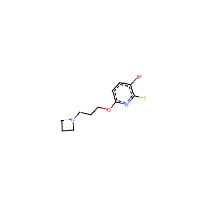 Fc1nc(OCCCN2CCC2)ccc1Br